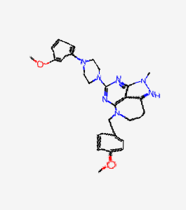 COc1ccc(CN2CCC3NN(C)c4nc(N5CCN(c6cccc(OC)c6)CC5)nc2c43)cc1